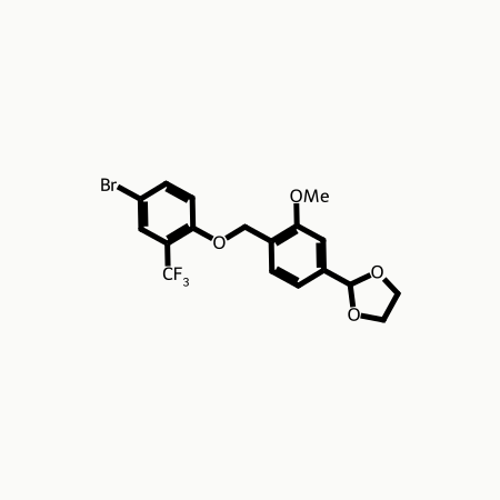 COc1cc(C2OCCO2)ccc1COc1ccc(Br)cc1C(F)(F)F